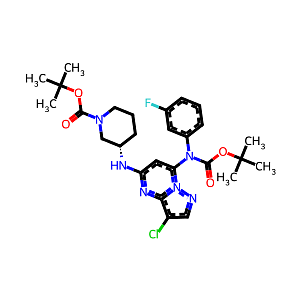 CC(C)(C)OC(=O)N1CCC[C@H](Nc2cc(N(C(=O)OC(C)(C)C)c3cccc(F)c3)n3ncc(Cl)c3n2)C1